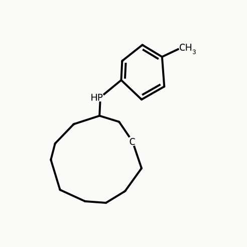 Cc1ccc(PC2CCCCCCCCCC2)cc1